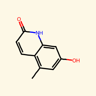 Cc1cc(O)cc2[nH]c(=O)ccc12